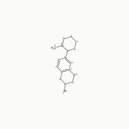 CC(C)C1[CH]c2ccc(C3CCCCN3C)cc2OC1